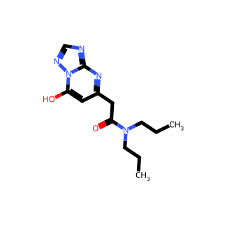 CCCN(CCC)C(=O)Cc1cc(O)n2ncnc2n1